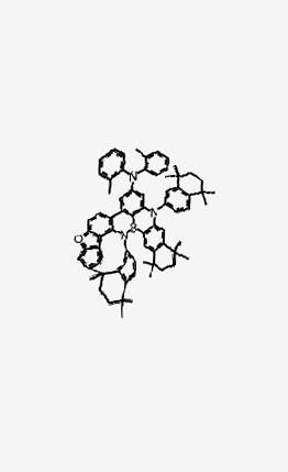 Cc1ccccc1N(c1cc2c3c(c1)N(c1ccc4c(c1)C(C)(C)CCC4(C)C)c1cc4c(cc1B3N1c3ccc5c(c3)C(C)(CCC5(C)C)c3ccc5c(c3)oc3ccc-2c1c35)C(C)(C)CCC4(C)C)c1ccccc1C